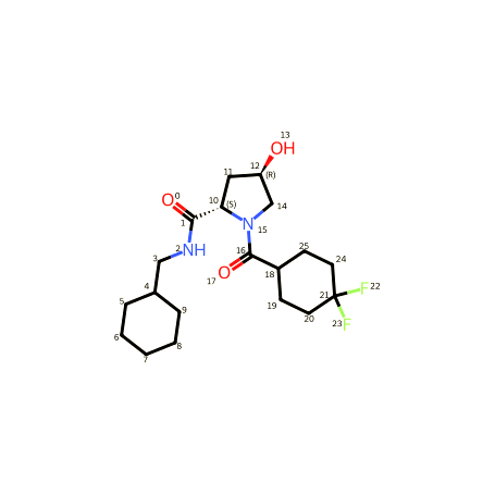 O=C(NCC1CCCCC1)[C@@H]1C[C@@H](O)CN1C(=O)C1CCC(F)(F)CC1